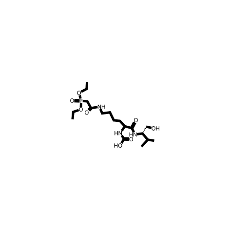 CCOP(=O)(CC(=O)NCCCCC(NC(=O)O)C(=O)N[C@H](CO)C(C)C)OCC